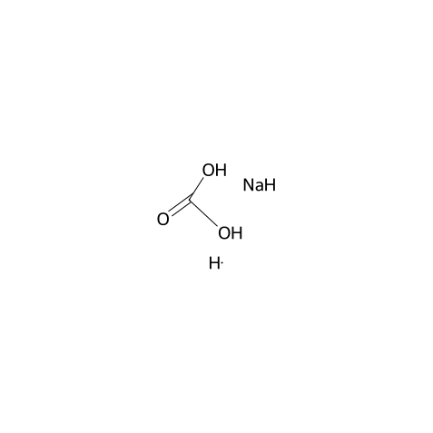 O=C(O)O.[H].[NaH]